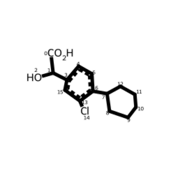 O=C(O)C(O)c1ccc(C2CCCCC2)c(Cl)c1